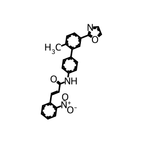 Cc1ccc(-c2ncco2)cc1-c1ccc(NC(=O)/C=C/c2ccccc2[N+](=O)[O-])cc1